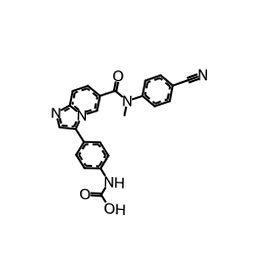 CN(C(=O)c1ccc2ncc(-c3ccc(NC(=O)O)cc3)n2c1)c1ccc(C#N)cc1